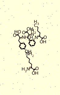 CCCC[C@H](N)C(=O)O.NCCCC[C@H](N)C(=O)O.N[C@@H](Cc1ccc(O)cc1)C(=O)O.N[C@@H](Cc1ccccc1)C(=O)O